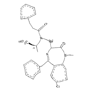 C[C@@H](C(=O)O)N(NC1N=C(c2ccccc2)c2cc(Cl)ccc2N(C)C1=O)C(=O)Cc1ccccc1